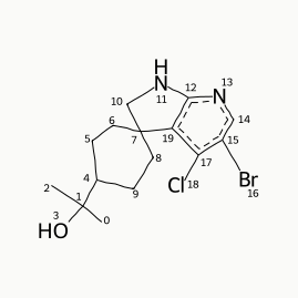 CC(C)(O)C1CCC2(CC1)CNc1ncc(Br)c(Cl)c12